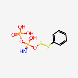 N=P(O)(OSSc1ccccc1)OP(=O)(O)O